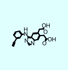 C#Cc1cccc(Nc2ncnc3cc(CC(=O)O)c(CC(=O)O)cc23)c1